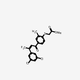 COC(=O)CSc1ccc(C(=O)C=C(c2cc(Cl)cc(Cl)c2)C(F)(F)F)cc1C